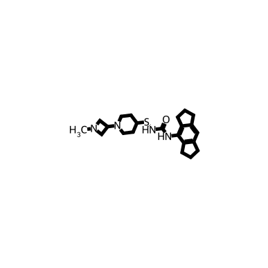 CN1CC(N2CCC(SNC(=O)Nc3c4c(cc5c3CCC5)CCC4)CC2)C1